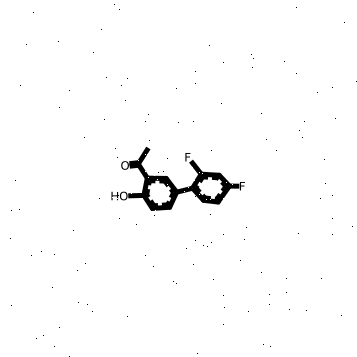 CC(=O)c1cc(-c2ccc(F)cc2F)ccc1O